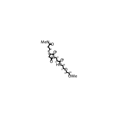 CNC(=O)CCSC1CC(=O)N(CCC(=O)NCCOCCOC)C1=O